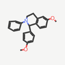 COc1ccc(C2c3ccc(OC)cc3CCN2c2ccccc2)cc1